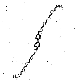 NCCOCCOCCOCCOC=C1C=CC(C2=CCC(=COCCOCCOCCOCCN)C=C2)=CC1